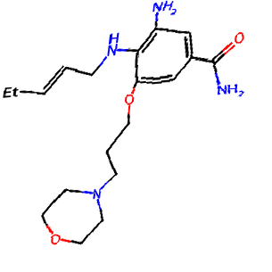 CC/C=C/CNc1c(N)cc(C(N)=O)cc1OCCCN1CCOCC1